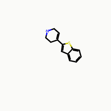 C1=C(c2cc3ccccc3s2)CC[N]C1